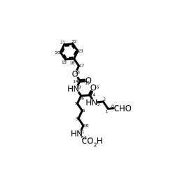 O=CCCNC(=O)C(CCCCNC(=O)O)NC(=O)OCc1ccccc1